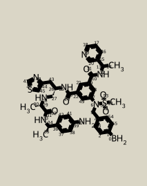 Bc1ccc(CN(c2cc(C(=O)NC(C)c3cccnc3)cc(C(=O)N[C@H](CN[C@@H](C)C(=O)N[C@H](C)c3ccc(N)cc3)Cc3cscn3)c2)S(C)(=O)=O)cc1